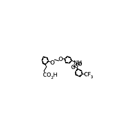 O=C(O)CCc1ccccc1OCCOc1ccc(NS(=O)(=O)c2cccc(C(F)(F)F)c2)cc1